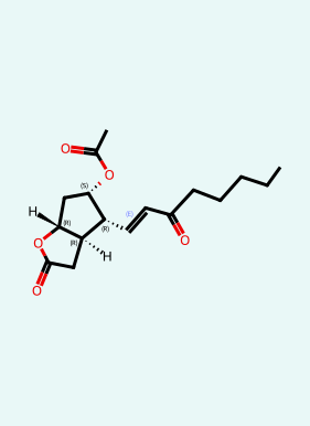 CCCCCC(=O)/C=C/[C@@H]1[C@H]2CC(=O)O[C@@H]2C[C@@H]1OC(C)=O